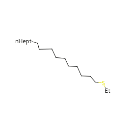 CCCCCCCCCCCCCCCCCSCC